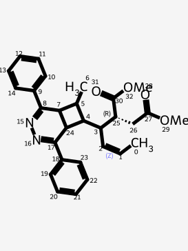 C/C=C\C(C1C(C)C2C(c3ccccc3)=NN=C(c3ccccc3)C21)[C@@H](CC(=O)OC)C(=O)OC